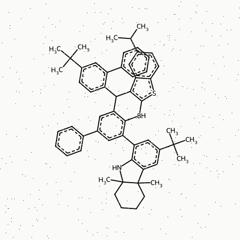 CC(C)c1ccc2sc3c(c2c1)C(c1ccc(C(C)(C)C)cc1-c1ccccc1)c1cc(-c2ccccc2)cc(-c2cc(C(C)(C)C)cc4c2NC2(C)CCCCC42C)c1B3